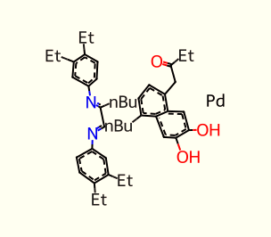 CCCCC(C=Nc1ccc(CC)c(CC)c1)=Nc1ccc(CC)c(CC)c1.CCCCc1ccc(CC(=O)CC)c2cc(O)c(O)cc12.[Pd]